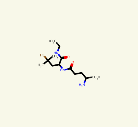 CC(C)(S)CC(NC(=O)CCC(N)C(=O)O)C(=O)NCC(=O)O